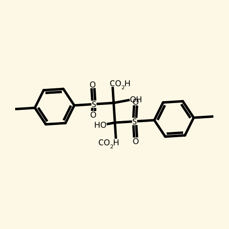 Cc1ccc(S(=O)(=O)C(O)(C(=O)O)C(O)(C(=O)O)S(=O)(=O)c2ccc(C)cc2)cc1